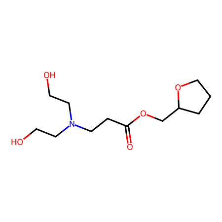 O=C(CCN(CCO)CCO)OCC1CCCO1